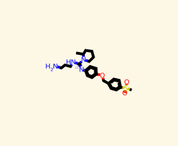 CC1CCCCN1/C(=N\c1ccc(OCc2ccc(S(C)(=O)=O)cc2)cc1)NCCCN